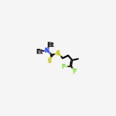 CCN(CC)C(=S)SCCC(C)=C(F)F